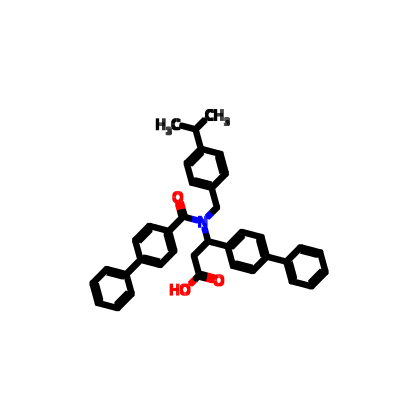 CC(C)c1ccc(CN(C(=O)c2ccc(-c3ccccc3)cc2)C(CC(=O)O)c2ccc(-c3ccccc3)cc2)cc1